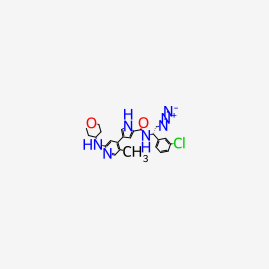 Cc1cnc(NC2CCOCC2)cc1-c1c[nH]c(C(=O)N[C@H](CN=[N+]=[N-])c2cccc(Cl)c2)c1